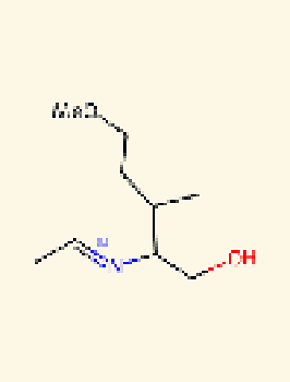 C/C=N/C(CO)C(C)CCOC